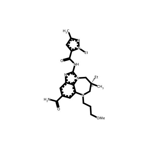 CCn1nc(C)cc1C(=O)Nc1nc2cc(C(N)=O)cc3c2n1C[C@](C)(CC)CN3CCCOC